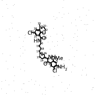 COc1cc(N)c(Cl)cc1C(=O)C(N)C1CCN(CCCCNC(=O)c2cc(Cl)cc3c2OCCN3C)C1